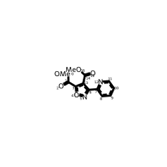 COC(=O)c1onc(-c2ccccn2)c1C(=O)OC